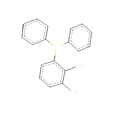 Cc1cccc([S+](c2ccccc2)c2ccccc2)c1C